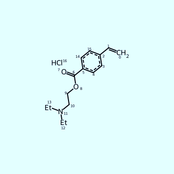 C=Cc1ccc(C(=O)OCCN(CC)CC)cc1.Cl